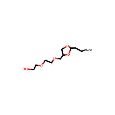 CCCCCCCCCCCC1OCC(COCCOCCO)O1